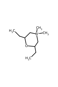 CCC1C[N+](C)(C)CC(CC)O1